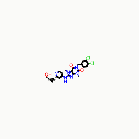 Cn1c(Nc2ccnc([C@@H]3C[C@H]3CO)c2)nc2c1c(=O)n(Cc1ccc(Cl)c(Cl)c1)c(=O)n2C